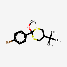 COC1(c2ccc(Br)cc2)SCC(C(C)(C)C)CS1